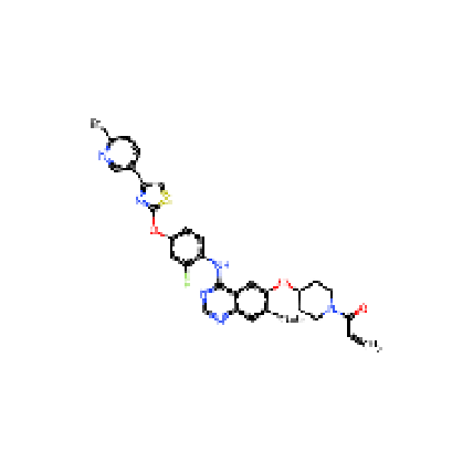 C=CC(=O)N1CCC(Oc2cc3c(Nc4ccc(Oc5nc(-c6ccc(CC)nc6)cs5)cc4F)ncnc3cc2OC)CC1